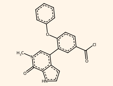 Cn1cc(-c2cc(C(=O)Cl)ccc2Oc2ccccc2)c2cc[nH]c2c1=O